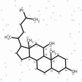 CC(C)C(C)CCC(C)C1CCC2C3CCC4CC(O)CCC4(C)C3C(O)CC12C